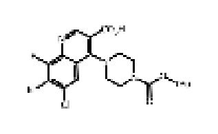 CC(C)(C)OC(=O)N1CCN(c2c(C(=O)O)cnc3c(F)c(Br)c(Cl)cc23)CC1